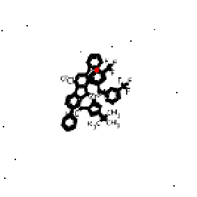 CCC1C=C(C(C)(C)C)C=[C]1[Zr+2](=[C](c1cccc(C(F)(F)F)c1)c1cccc(C(F)(F)F)c1)[CH]1c2cc(-c3ccccc3)ccc2-c2ccc(-c3ccccc3)cc21.[Cl-].[Cl-]